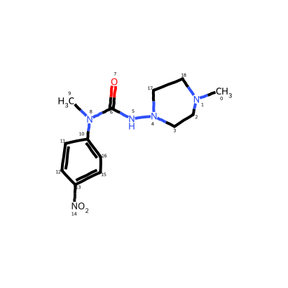 CN1CCN(NC(=O)N(C)c2ccc([N+](=O)[O-])cc2)CC1